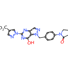 O=C(O)c1cnn(-c2nc(O)c3c(cnn3Cc3ccc(N4CCCC4=O)cc3)n2)c1